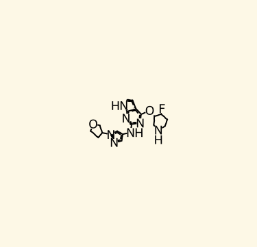 F[C@@H]1CCNC[C@@H]1Oc1nc(Nc2cnn(C3CCOC3)c2)nc2[nH]ccc12